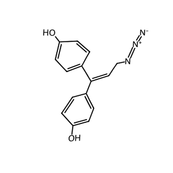 [N-]=[N+]=NCC=C(c1ccc(O)cc1)c1ccc(O)cc1